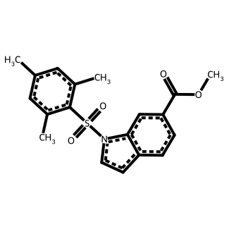 COC(=O)c1ccc2ccn(S(=O)(=O)c3c(C)cc(C)cc3C)c2c1